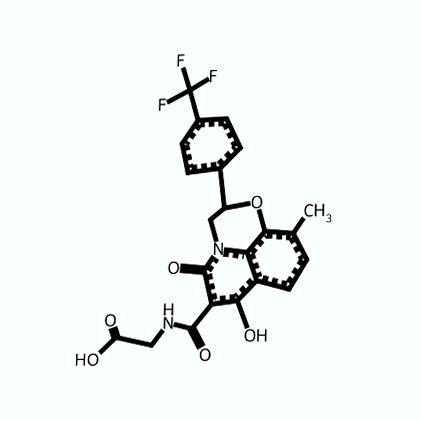 Cc1ccc2c(O)c(C(=O)NCC(=O)O)c(=O)n3c2c1OC(c1ccc(C(F)(F)F)cc1)C3